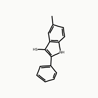 Cc1ccc2[nH]c(-c3ccccc3)c(S)c2c1